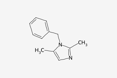 Cc1cnc(C)n1Cc1ccccc1